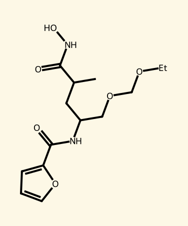 CCOCOCC(CC(C)C(=O)NO)NC(=O)c1ccco1